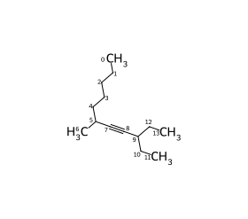 CCCCCC(C)C#CC(CC)CC